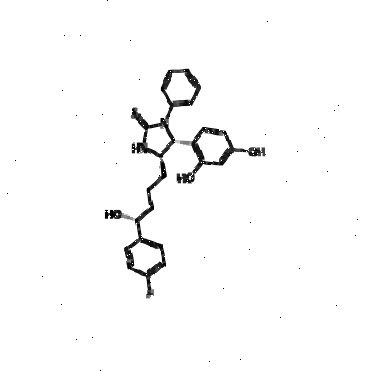 Oc1ccc([C@@H]2[C@@H](CCC[C@@H](O)c3ccc(F)cc3)NC(=S)N2c2ccccc2)c(O)c1